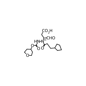 O=C[C@H](CC(=O)O)N(NC(=O)OC1CCOCC1)C(=O)CCC1CCCC1